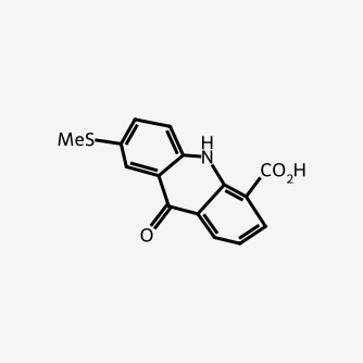 CSc1ccc2[nH]c3c(C(=O)O)cccc3c(=O)c2c1